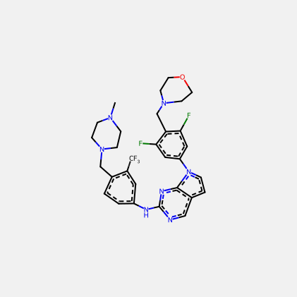 CN1CCN(Cc2ccc(Nc3ncc4ccn(-c5cc(F)c(CN6CCOCC6)c(F)c5)c4n3)cc2C(F)(F)F)CC1